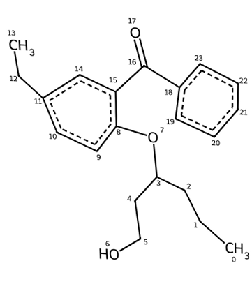 CCCC(CCO)Oc1ccc(CC)cc1C(=O)c1ccccc1